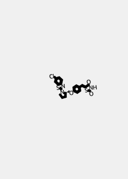 O=C1NC(=O)C(=Cc2ccc(OC[C@@H]3CCCN3c3nc4ccc(Cl)cc4s3)cc2)S1